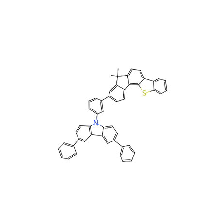 CC1(C)c2cc(-c3cccc(-n4c5ccc(-c6ccccc6)cc5c5cc(-c6ccccc6)ccc54)c3)ccc2-c2c1ccc1c2sc2ccccc21